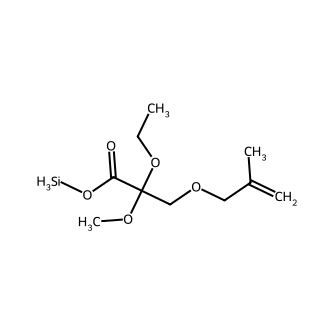 C=C(C)COCC(OC)(OCC)C(=O)O[SiH3]